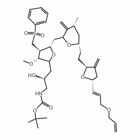 C=CCOC/C=C/[C@H]1CC(=C)[C@H](CC[C@H]2C[C@@H](C)C(=C)C(C[C@@H]3OC(C[C@H](O)CNC(=O)OC(C)(C)C)[C@H](OC)[C@H]3CS(=O)(=O)c3ccccc3)O2)O1